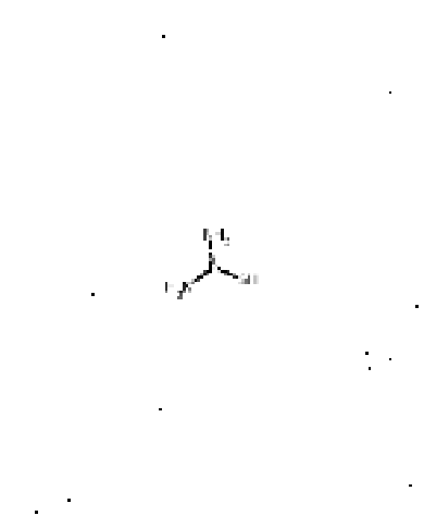 NP(N)S